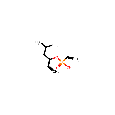 C=CC(CC(C)C)OP(=O)(O)C=C